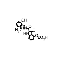 Cc1cccc(C)c1CNC(=O)n1[nH]c2cccc(OC(=O)O)c2c1=O